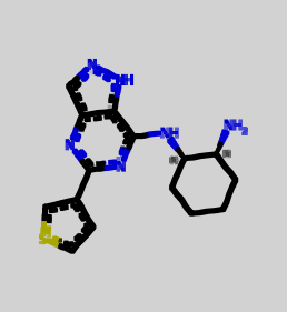 N[C@H]1CCCC[C@H]1Nc1nc(-c2ccsc2)nc2cn[nH]c12